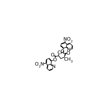 CC(CC(C)C(=O)Oc1ccc([N+](=O)[O-])c2cccnc12)C(=O)Oc1ccc([N+](=O)[O-])c2cccnc12